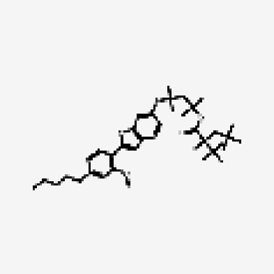 CCCCCc1ccc(-c2cc3ccc(SC(C)(C)CC(C)(C)OC(=O)C(C)(CC(C)(C)C)C(C)(C)C)cc3o2)c(OC)c1